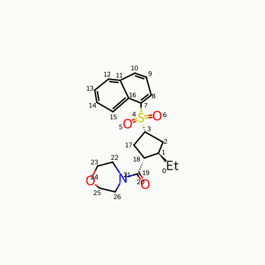 CC[C@@H]1C[C@@H](S(=O)(=O)c2cccc3ccccc23)C[C@H]1C(=O)N1CCOCC1